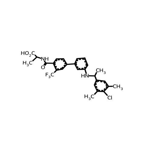 Cc1cc(C(C)Nc2cccc(-c3ccc(C(=O)NC(C)C(=O)O)c(C(F)(F)F)c3)c2)cc(C)c1Cl